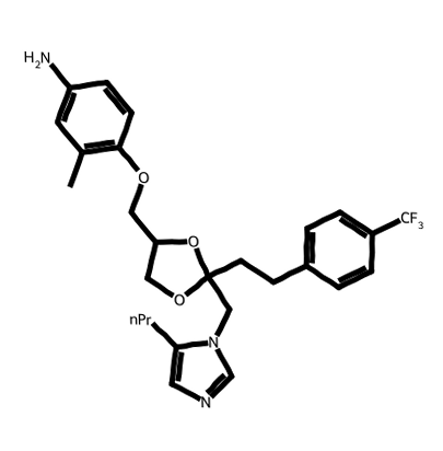 CCCc1cncn1CC1(CCc2ccc(C(F)(F)F)cc2)OCC(COc2ccc(N)cc2C)O1